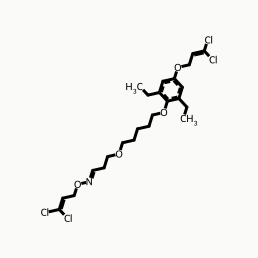 CCc1cc(OCC=C(Cl)Cl)cc(CC)c1OCCCCCOCCC=NOCC=C(Cl)Cl